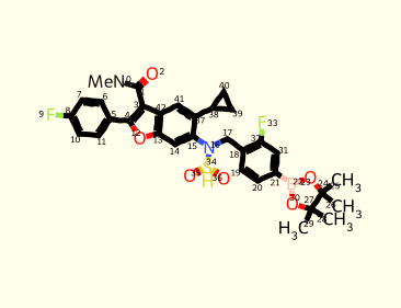 CNC(=O)c1c(-c2ccc(F)cc2)oc2cc(N(Cc3ccc(B4OC(C)(C)C(C)(C)O4)cc3F)[SH](=O)=O)c(C3CC3)cc12